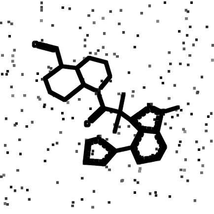 Cn1nc(C(C)(C)C(=O)N2CCCC3C(C=O)CCCC32)c2c(-c3cccs3)cccc21